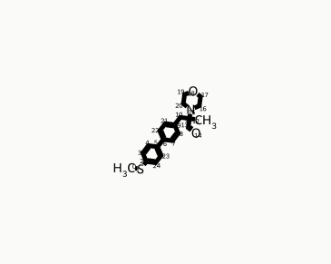 CSc1ccc(-c2ccc(CC(C)(C=O)N3CCOCC3)cc2)cc1